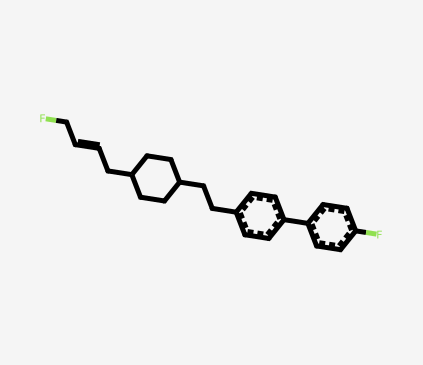 FC/C=C/CC1CCC(CCc2ccc(-c3ccc(F)cc3)cc2)CC1